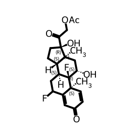 CC(=O)OCC(=O)[C@@]1(O)CC[C@H]2[C@@H]3CC(F)C4=CC(=O)C=C[C@]4(C)[C@@]3(F)[C@@H](O)C[C@@]21C